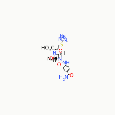 Cn1nnnc1SCC1=C(C(=O)O)N2C(=O)[C@@H]3[C@H]2[C@@H](CN3C(=O)Nc2ccc(C(N)=O)cc2)O1.[NaH]